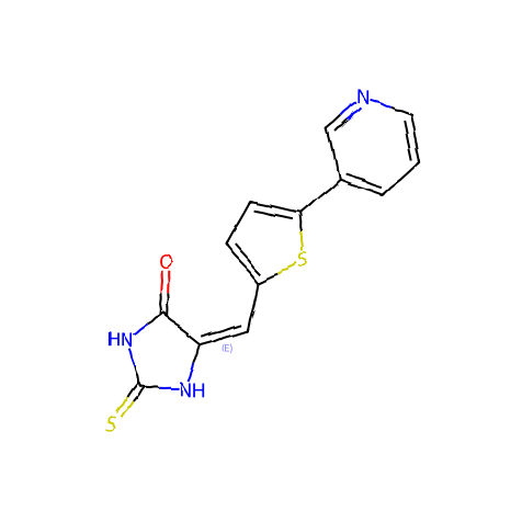 O=C1NC(=S)N/C1=C/c1ccc(-c2cccnc2)s1